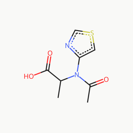 CC(=O)N(c1cscn1)C(C)C(=O)O